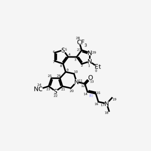 CCn1cc(-c2sccc2C2CN(C(=O)/C=C/CN(C)C)Cc3sc(C#N)cc32)c(C(F)(F)F)n1